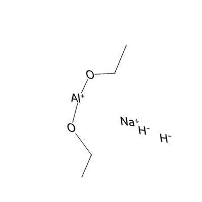 CC[O][Al+][O]CC.[H-].[H-].[Na+]